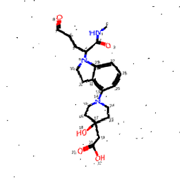 CNC(=O)C(CCC=O)N1CCc2c(N3CCC(O)(CC(=O)O)CC3)cccc21